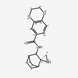 O=C(NC1C2CCC(CC2)[C@@]12CN2)c1cc2c(cn1)OCCO2